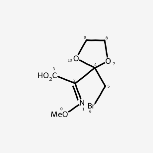 CON=C(C(=O)O)C1(CBr)OCCO1